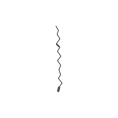 C#CCCCCCCCCC=CCCCC